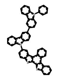 c1ccc(-n2c3ccccc3c3cc(-c4ccc5c(c4)c4ccccc4n5-c4ccc5sc6c7sc8ccccc8c7c7ccccc7c6c5c4)ccc32)cc1